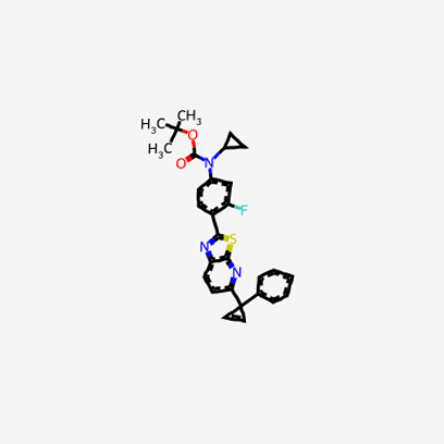 CC(C)(C)OC(=O)N(c1ccc(-c2nc3ccc(C4(c5ccccc5)C=C4)nc3s2)c(F)c1)C1CC1